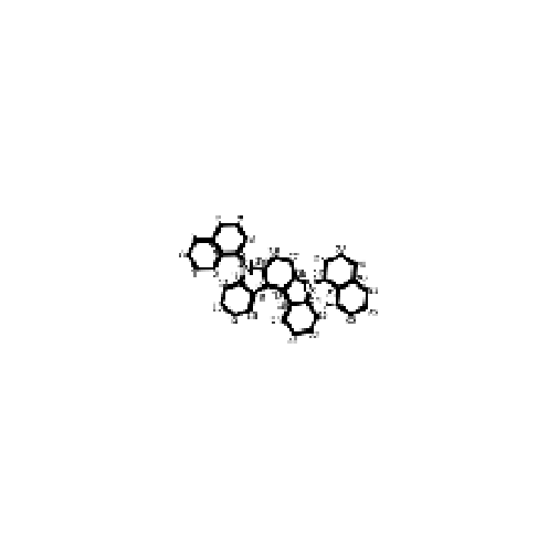 C1CCC2C(C1)CCCC2N1C2CCCCC2C2C3C4CCCCC4N(C4CCCC5CCCCC54)C3CCC21